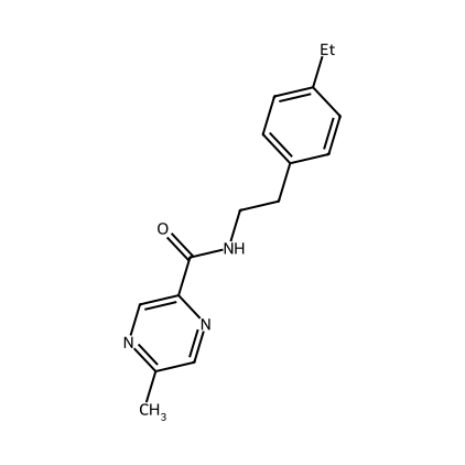 CCc1ccc(CCNC(=O)c2cnc(C)cn2)cc1